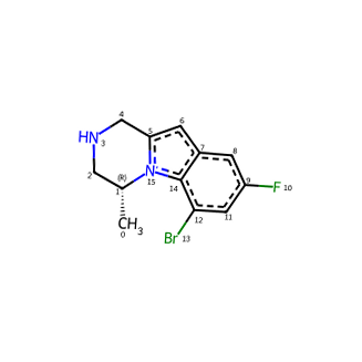 C[C@@H]1CNCc2cc3cc(F)cc(Br)c3n21